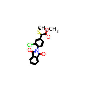 COC(=O)C(SC)c1ccc(N2C(=O)c3ccccc3C2=O)c(Cl)c1